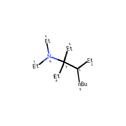 CCCCC(CC)C(CC)(CC)N(CC)CC